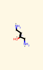 NC/C=C(\O)CN